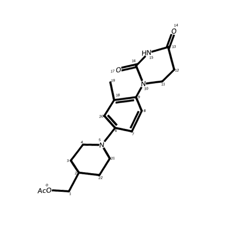 CC(=O)OCC1CCN(c2ccc(N3CCC(=O)NC3=O)c(C)c2)CC1